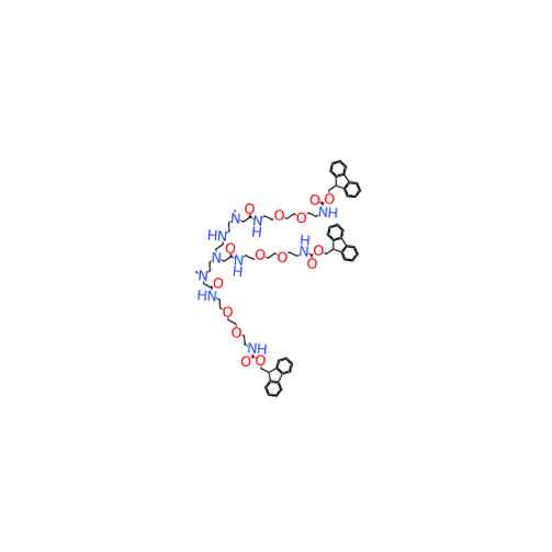 CN(CCNCCN(CCN(C)CC(=O)NCCOCCOCCNC(=O)OCC1c2ccccc2-c2ccccc21)CC(=O)NCCOCCOCCNC(=O)OCC1c2ccccc2-c2ccccc21)CC(=O)NCCOCCOCCNC(=O)OCC1c2ccccc2-c2ccccc21